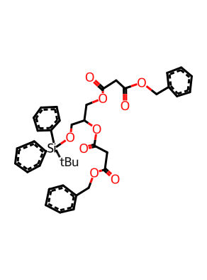 CC(C)(C)[Si](OCC(COC(=O)CC(=O)OCc1ccccc1)OC(=O)CC(=O)OCc1ccccc1)(c1ccccc1)c1ccccc1